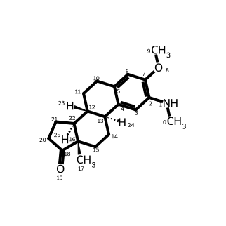 CNc1cc2c(cc1OC)CC[C@@H]1[C@@H]2CC[C@]2(C)C(=O)CC[C@@H]12